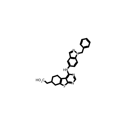 O=C(O)CC1CCc2c(sc3ncnc(Nc4ccc5c(cnn5Cc5ccccc5)c4)c23)C1